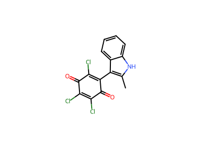 Cc1[nH]c2ccccc2c1C1=C(Cl)C(=O)C(Cl)=C(Cl)C1=O